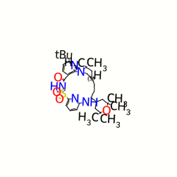 CC1(C)CC(C2CC[C@@H]3CN(c4nc(C(C)(C)C)ccc4C(=O)NS(=O)(=O)c4cccc(n4)N2)C(C)(C)C3)CC(C)(C)O1